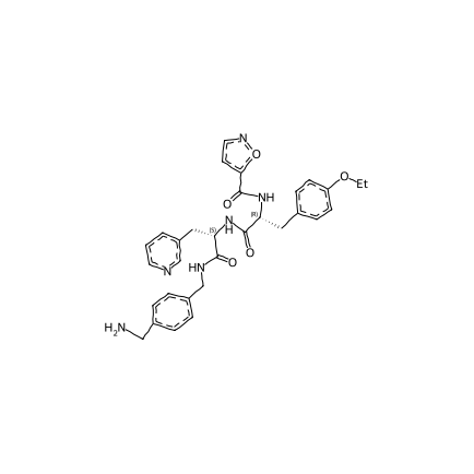 CCOc1ccc(C[C@@H](NC(=O)c2ccno2)C(=O)N[C@@H](Cc2cccnc2)C(=O)NCc2ccc(CN)cc2)cc1